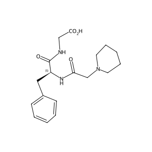 O=C(O)CNC(=O)[C@H](Cc1ccccc1)NC(=O)CN1CCCCC1